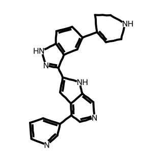 C1=C(c2ccc3[nH]nc(-c4cc5c(-c6cccnc6)cncc5[nH]4)c3c2)CCNC1